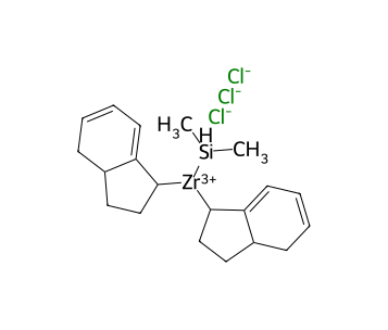 C[SiH](C)[Zr+3]([CH]1CCC2CC=CC=C21)[CH]1CCC2CC=CC=C21.[Cl-].[Cl-].[Cl-]